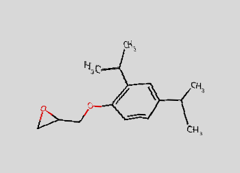 CC(C)c1ccc(OCC2CO2)c(C(C)C)c1